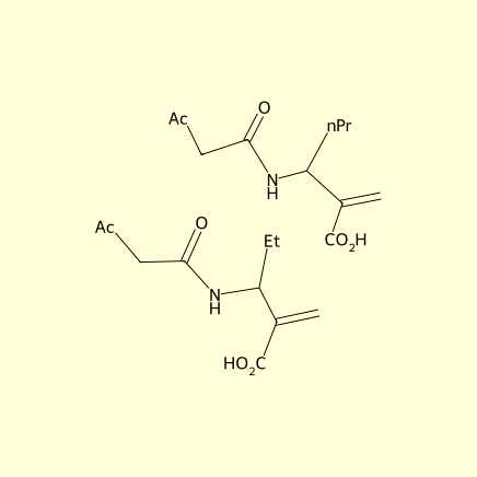 C=C(C(=O)O)C(CC)NC(=O)CC(C)=O.C=C(C(=O)O)C(CCC)NC(=O)CC(C)=O